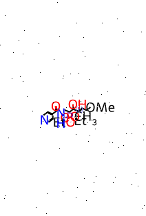 CCOP(=O)(OCC)C(CNC(=O)c1ccncc1)C(O)/C(C)=C/COC